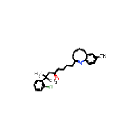 CC(C)(CC(=O)CCCC/C1=N/c2ccc(C#N)cc2CCCC1)c1ccccc1Cl